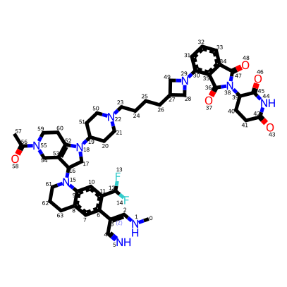 CN/C=C(\C=N)c1cc2c(cc1C(F)F)N(C1CN(C3CCN(CCCCC4CN(c5cccc6c5C(=O)N(C5CCC(=O)NC5=O)C6=O)C4)CC3)C3=C1CN(C(C)=O)CC3)CCC2